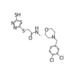 O=C(CSc1nnc(S)s1)NC[C@H]1CN(Cc2ccc(Cl)c(Cl)c2)CCO1